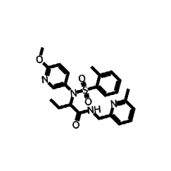 CCC(C(=O)NCc1cccc(C)n1)N(c1ccc(OC)nc1)S(=O)(=O)c1ccccc1C